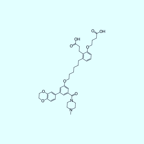 CN1CCN(C(=O)c2cc(OCCCCCCc3cccc(OCCCC(=O)O)c3CCC(=O)O)cc(-c3ccc4c(c3)OCCO4)c2)CC1